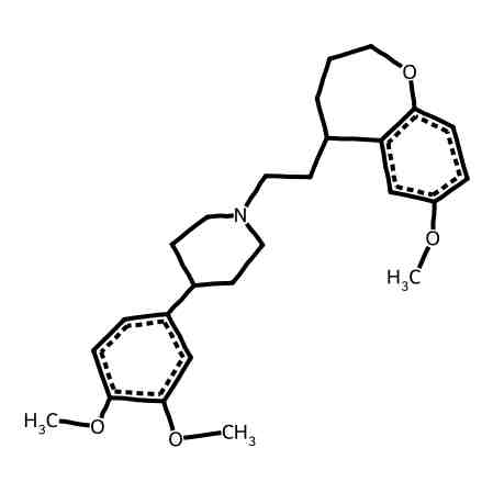 COc1ccc2c(c1)C(CCN1CCC(c3ccc(OC)c(OC)c3)CC1)CCCO2